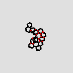 c1ccc(-c2ccc(-c3cccc4ccccc34)cc2N(c2ccccc2-c2cccc3cccc(-c4ccccc4)c23)c2ccccc2-c2cccc3c4ccccc4n(-c4ccccc4)c23)cc1